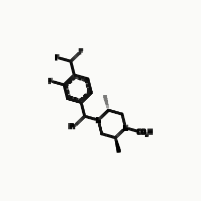 CC(C)C(c1ccc(C(F)F)c(F)c1)N1C[C@H](C)N(C(=O)O)C[C@H]1C